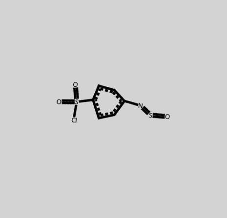 O=S=Nc1ccc(S(=O)(=O)Cl)cc1